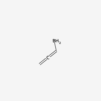 BC=C=C